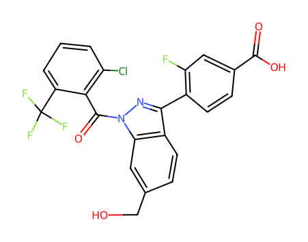 O=C(O)c1ccc(-c2nn(C(=O)c3c(Cl)cccc3C(F)(F)F)c3cc(CO)ccc23)c(F)c1